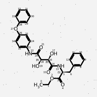 CCOC(=O)[C@H](Cc1ccccc1)NC(=O)[C@H](O)[C@@H](O)C(=O)Nc1ccc(Oc2ccccc2)cc1